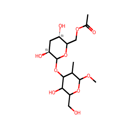 COC1OC(CO)C(O)C(OC2OC(COC(C)=O)[C@@H](O)C[C@@H]2O)C1C